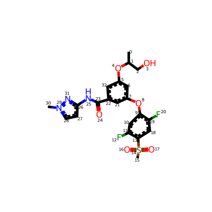 CC(CO)Oc1cc(Oc2cc(F)c(S(C)(=O)=O)cc2F)cc(C(=O)Nc2ccn(C)n2)c1